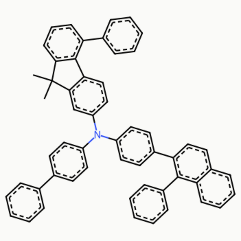 CC1(C)c2cc(N(c3ccc(-c4ccccc4)cc3)c3ccc(-c4ccc5ccccc5c4-c4ccccc4)cc3)ccc2-c2c(-c3ccccc3)cccc21